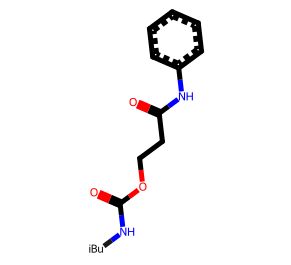 CCC(C)NC(=O)OCCC(=O)Nc1ccccc1